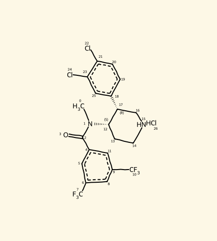 CN(C(=O)c1cc(C(F)(F)F)cc(C(F)(F)F)c1)[C@H]1CCNC[C@H]1c1ccc(Cl)c(Cl)c1.Cl